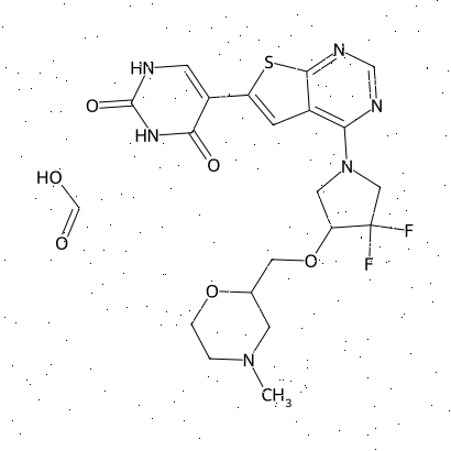 CN1CCOC(COC2CN(c3ncnc4sc(-c5c[nH]c(=O)[nH]c5=O)cc34)CC2(F)F)C1.O=CO